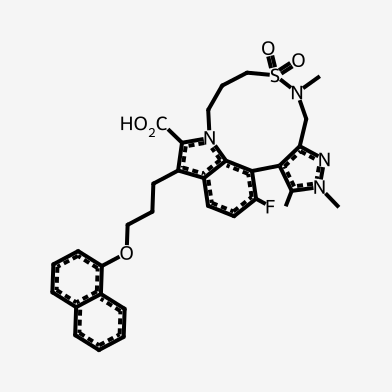 Cc1c2c(nn1C)CN(C)S(=O)(=O)CCCn1c(C(=O)O)c(CCCOc3cccc4ccccc34)c3ccc(F)c-2c31